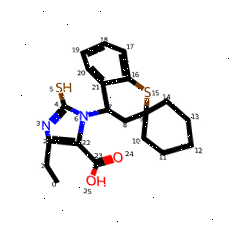 CCc1nc(S)n(C2CC3(CCCCC3)Sc3ccccc32)c1C(=O)O